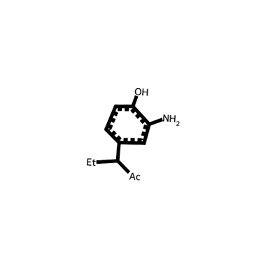 CCC(C(C)=O)c1ccc(O)c(N)c1